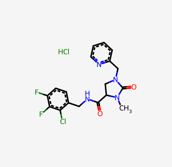 CN1C(=O)N(Cc2ccccn2)CC1C(=O)NCc1ccc(F)c(F)c1Cl.Cl